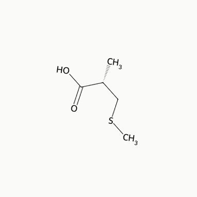 CSC[C@@H](C)C(=O)O